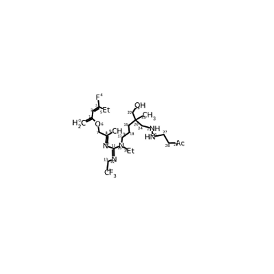 C=C(/C=C(/F)CC)OC/C(C)=N/C(=N\CC(F)(F)F)N(CC)CCCC(C)(CO)CNNCCC(C)=O